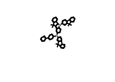 CC1(C)c2ccccc2-c2ccc(N(c3ccc(-c4ccccc4)cc3)c3ccc4c(c3)c3c(n4-c4ccc5c(c4)C(C)(C)c4ccccc4-5)-c4ccccc4C3(C)C)cc21